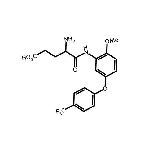 COc1ccc(Oc2ccc(C(F)(F)F)cc2)cc1NC(=O)C(N)CCC(=O)O